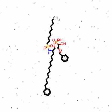 CCCCCCCCCCS(=O)(=O)NC(CCCCCCCCCCCCc1ccccc1)COP(=O)(O)C(O)COCc1ccccc1